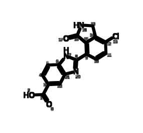 O=C(O)c1ccc2[nH]c(-c3ccc(Cl)c4c3C(=O)NC4)nc2c1